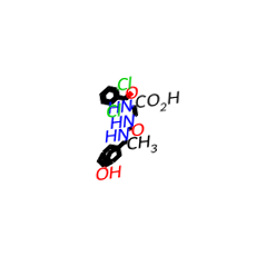 CC(NC(=O)NC[C@H](NC(=O)c1c(Cl)cccc1Cl)C(=O)O)C12CC3CC(C1)C(O)(C3)C2